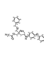 CC(=O)OCC(N)(CCNc1ccc(Oc2ccccc2)cc1)COCc1ccccc1